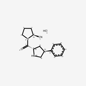 Cl.N#C[C@@H]1CCCN1C(=O)[C@@H]1C[C@@H](c2ccccc2)CN1